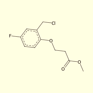 COC(=O)CCOc1ccc(F)cc1CCl